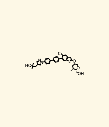 C[C@H]1C[C@@H](OC2=Nc3cc(-c4ccc(-c5ccc(-n6cc(CC(C)(C)O)cn6)cc5)cc4)c(Cl)cc3C2)CO[C@@H]1CO